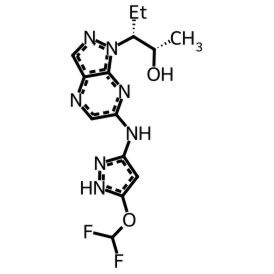 CC[C@H]([C@H](C)O)n1ncc2ncc(Nc3cc(OC(F)F)[nH]n3)nc21